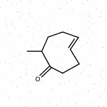 CC1CC/C=C/CCC1=O